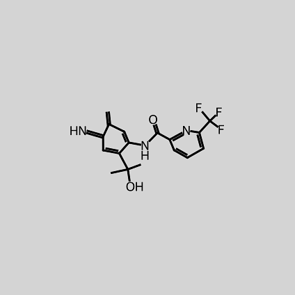 C=C1C=C(NC(=O)c2cccc(C(F)(F)F)n2)C(C(C)(C)O)=CC1=N